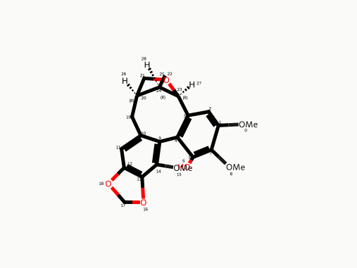 COc1cc2c(c(O)c1OC)-c1c(cc3c(c1OC)OCO3)C[C@H]1CO[C@@H]2[C@@H]1C